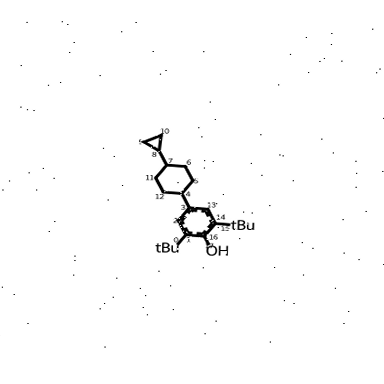 CC(C)(C)c1cc(C2CCC(C3CC3)CC2)cc(C(C)(C)C)c1O